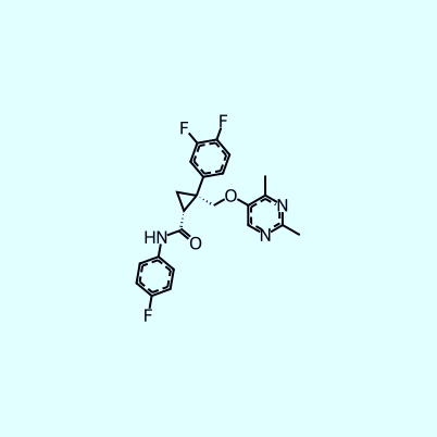 Cc1ncc(OC[C@@]2(c3ccc(F)c(F)c3)C[C@H]2C(=O)Nc2ccc(F)cc2)c(C)n1